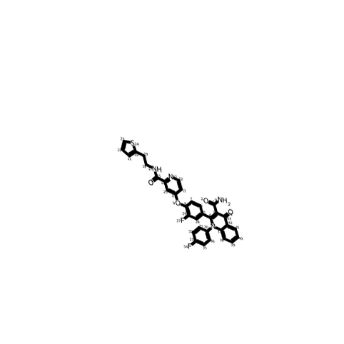 NC(=O)c1c(-c2ccc(Oc3ccnc(C(=O)NCCc4cccs4)c3)c(F)c2)n(-c2ccc(F)cc2)c2ccccc2c1=O